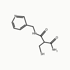 NC(=O)C(CS)C(=O)NCc1cccnc1